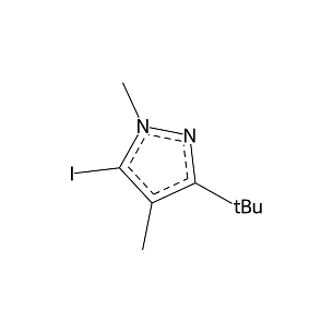 Cc1c(C(C)(C)C)nn(C)c1I